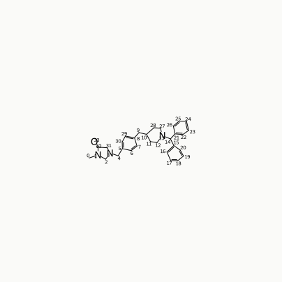 CN1CN(Cc2ccc(CC3CCN(C(c4ccccc4)c4ccccc4)CC3)cc2)CC1=O